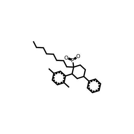 CCCCCCCCC1(P(=O)=O)CCC(c2ccccc2)CC1c1cc(C)ccc1C